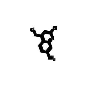 Bc1ccc2c(CCl)cc(Cl)nc2c1